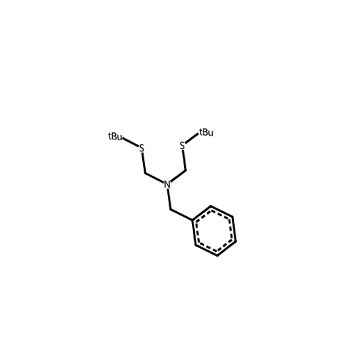 CC(C)(C)SCN(CSC(C)(C)C)Cc1ccccc1